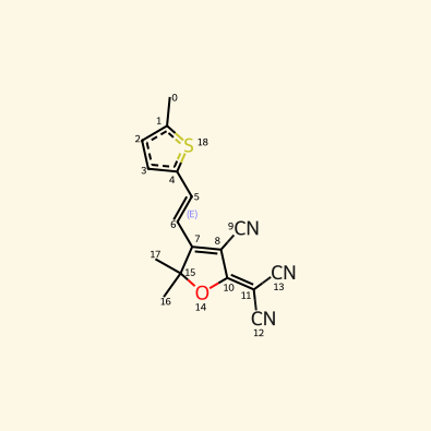 Cc1ccc(/C=C/C2=C(C#N)C(=C(C#N)C#N)OC2(C)C)s1